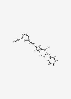 N#Cc1cccc(C#Cc2cc3n(c2)CCN(Cc2ccccc2)C3=O)c1